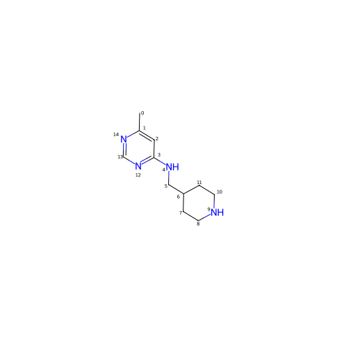 Cc1cc(NCC2CCNCC2)ncn1